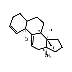 C[C@]12CC=C3[C@@H](CCC4CCC=C[C@]34C)[C@@H]1CCC2